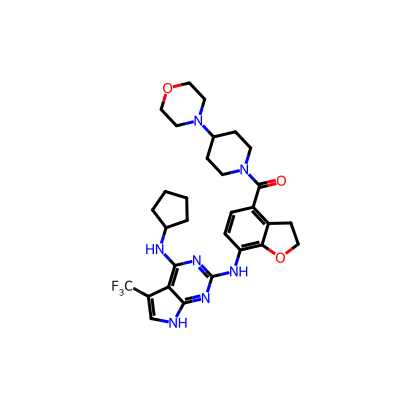 O=C(c1ccc(Nc2nc(NC3CCCC3)c3c(C(F)(F)F)c[nH]c3n2)c2c1CCO2)N1CCC(N2CCOCC2)CC1